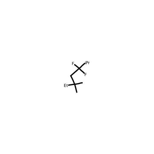 CCC(C)(C)CC(F)(F)C(C)C